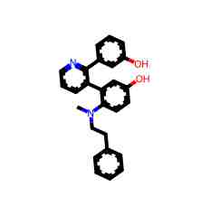 CN(CCc1ccccc1)c1ccc(O)cc1-c1cccnc1-c1cccc(O)c1